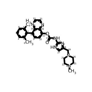 Cc1cccc(C)c1-c1ccc(OC(=O)Nc2nc(CN3CCN(C)CC3)c[nH]2)c2nccnc12